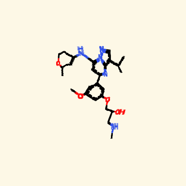 CNCC(O)COc1cc(OC)cc(-c2cc(NC3CCOC(C)C3)n3ncc(C(C)C)c3n2)c1